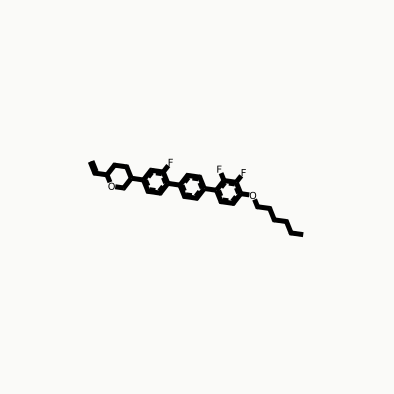 C=CC1CCC(c2ccc(-c3ccc(-c4ccc(OCCCCCC)c(F)c4F)cc3)c(F)c2)CO1